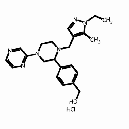 CCn1ncc(CN2CCN(c3cnccn3)CC2c2ccc(CO)cc2)c1C.Cl